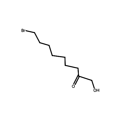 O=C(CO)CCCCCCCBr